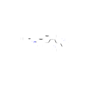 C=C/N=C(C)\C=C1\C=CC(/C(CC)=C(N)/C(N)=C\C)=CC1